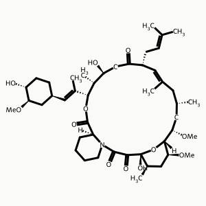 CO[C@H]1C[C@@H](C)C/C(C)=C/[C@@H](CC=C(C)C)C(=O)C[C@H](O)[C@@H](C)[C@@H](/C(C)=C/[C@@H]2CC[C@@H](O)[C@H](OC)C2)OC(=O)[C@@H]2CCCCN2C(=O)C(=O)[C@]2(O)O[C@H]1[C@@H](OC)C[C@H]2C